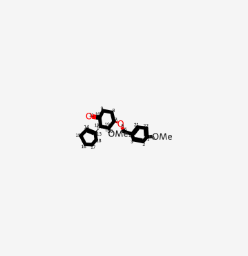 COc1ccc(CO[C@@H]2CCC(=O)[C@@H](C3=CCCCC3)[C@@H]2OC)cc1